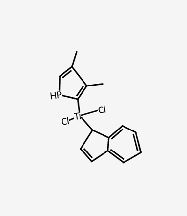 Cc1c[pH][c]([Ti]([Cl])([Cl])[CH]2C=Cc3ccccc32)c1C